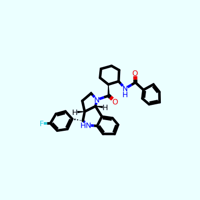 O=C(NC1CCCC[C@@H]1C(=O)N1CC[C@H]2[C@@H](c3ccc(F)cc3)Nc3ccccc3[C@H]21)c1ccccc1